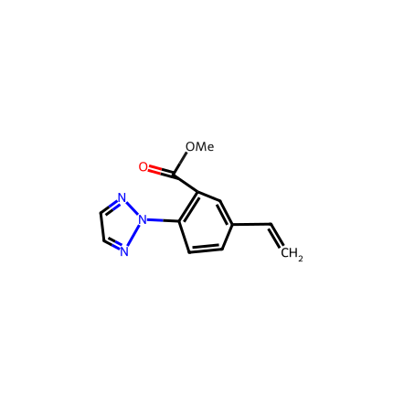 C=Cc1ccc(-n2nccn2)c(C(=O)OC)c1